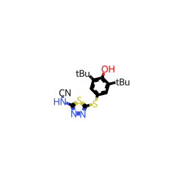 CC(C)(C)c1cc(Sc2nnc(NC#N)s2)cc(C(C)(C)C)c1O